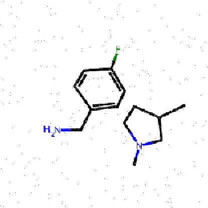 CC1CCN(C)C1.NCc1ccc(F)cc1